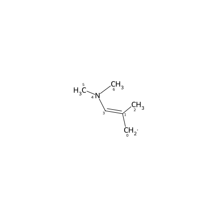 [CH2]C(C)=CN(C)C